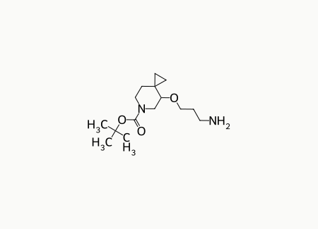 CC(C)(C)OC(=O)N1CCC2(CC2)C(OCCCN)C1